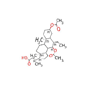 CC[C@@H]1C2C[C@H](OC(C)=O)CC[C@]2(C)C2CC[C@@]3(C)C(CC[C@@H]3[C@H](C)CC(=O)O)C2[C@@H]1OC(C)=O